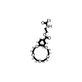 CCC(=O)NCCOC(=O)c1ccc2c(c1)OCCOCCOCCOCCO2